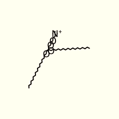 CCCCCCCCCCCCCCCCOCC(COCOCC[N+](C)(C)C)OCCCCCCCCCCCCCCCC